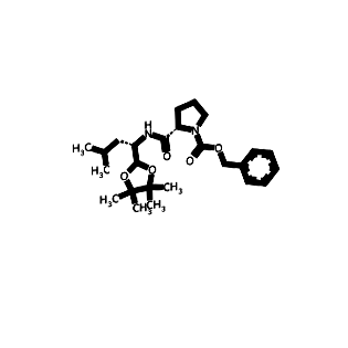 CC(C)C[C@H](NC(=O)[C@@H]1CCCN1C(=O)OCc1ccccc1)C1OC(C)(C)C(C)(C)O1